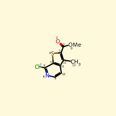 COC(=O)c1sc2c(Cl)nccc2c1C